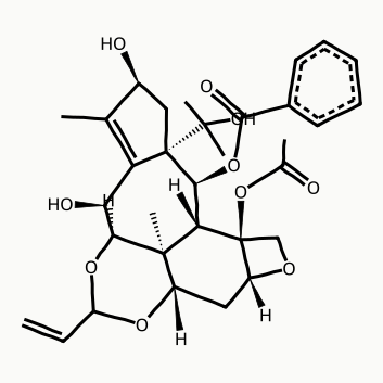 C=CC1O[C@H]2C[C@H]3OC[C@@]3(OC(C)=O)[C@H]3[C@H](OC(=O)c4ccccc4)[C@]4(C(C)(C)O)C[C@H](O)C(C)=C4[C@H](O)[C@H](O1)[C@]23C